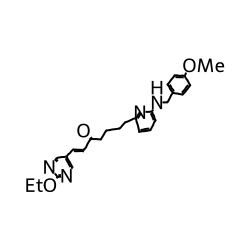 CCOc1ncc(/C=C/C(=O)CCCCc2cccc(NCc3ccc(OC)cc3)n2)cn1